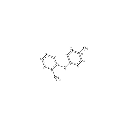 Cc1ccccc1Oc1ccc(C#N)nc1